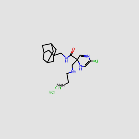 CNCCNCC1(C(=O)NCC23CC4CC(CC(C4)C2)C3)C=NC(Cl)=CN1.Cl.Cl